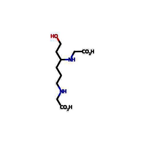 O=C(O)CNCCCC(CCO)NCC(=O)O